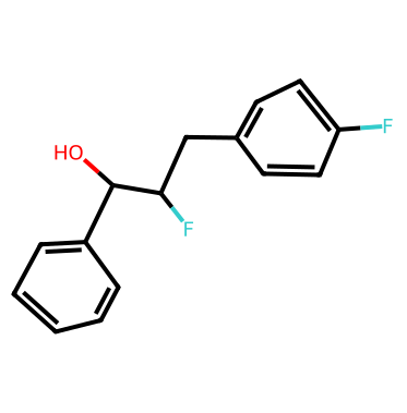 OC(c1ccccc1)C(F)Cc1ccc(F)cc1